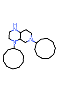 C1CCCCC(N2CCC3NCCN(C4CCCCCCCCC4)C3C2)CCCC1